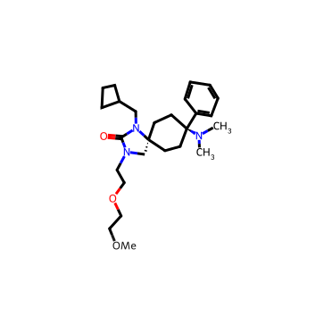 COCCOCCN1C[C@]2(CC[C@](c3ccccc3)(N(C)C)CC2)N(CC2CCC2)C1=O